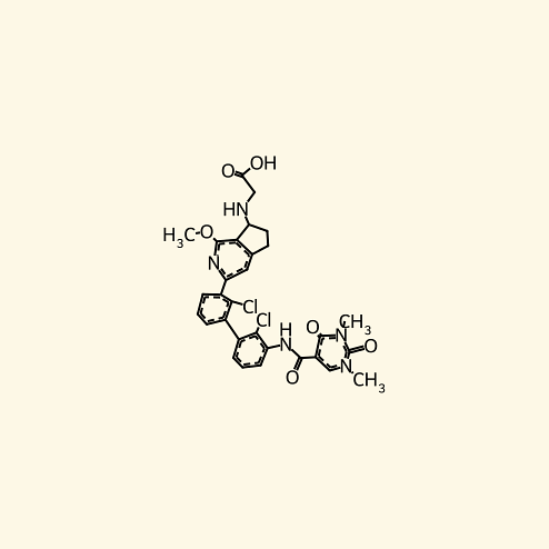 COc1nc(-c2cccc(-c3cccc(NC(=O)c4cn(C)c(=O)n(C)c4=O)c3Cl)c2Cl)cc2c1C(NCC(=O)O)CC2